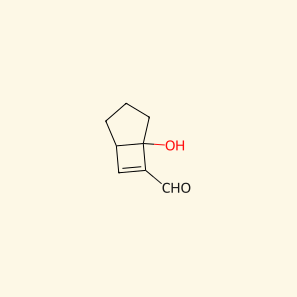 O=CC1=CC2CCCC12O